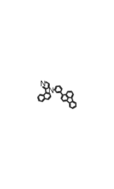 c1cc(-c2ccc3c4c(cccc24)-c2ccccc2-3)cc(-n2c3ccncc3c3c4ccccc4ccc32)c1